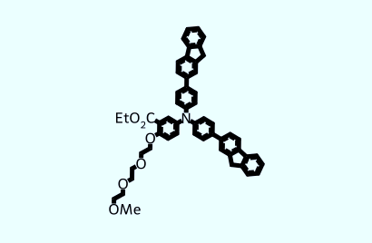 CCOC(=O)c1cc(N(c2ccc(-c3ccc4c(c3)Cc3ccccc3-4)cc2)c2ccc(-c3ccc4c(c3)Cc3ccccc3-4)cc2)ccc1OCCOCCOCCOC